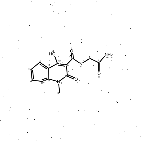 Cn1c(=O)c(C(=O)[N]CC(N)=O)c(O)c2ccccc21